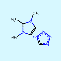 CCCCN1C=CN(C)C1C.c1nnn[nH]1